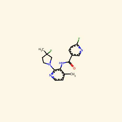 Cc1ccnc(N2CCC(C)(F)C2)c1NC(=O)c1ccc(F)nc1